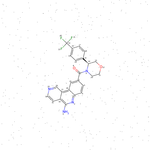 Nc1nc2ccc(C(=O)N3CCOC[C@@H]3c3ccc(C(F)(F)F)cc3)cc2c2cnccc12